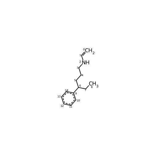 C=CNCCCC(CC)c1ccccc1